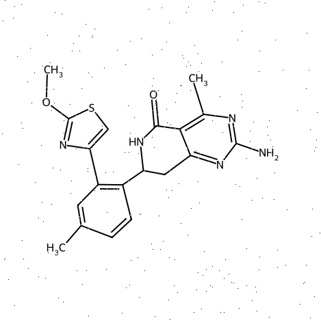 COc1nc(-c2cc(C)ccc2C2Cc3nc(N)nc(C)c3C(=O)N2)cs1